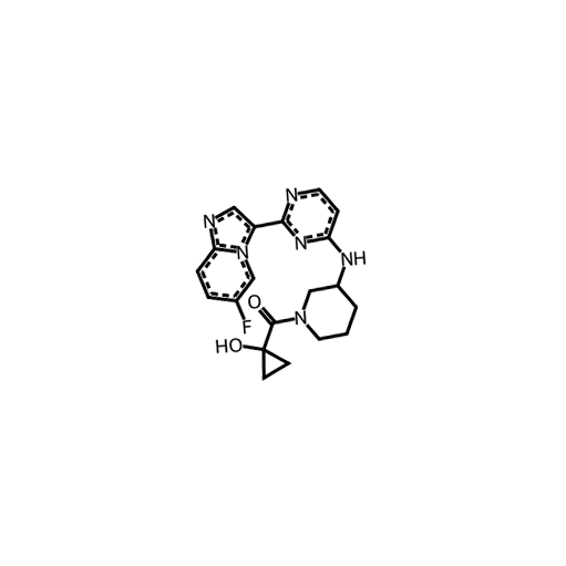 O=C(N1CCCC(Nc2ccnc(-c3cnc4ccc(F)cn34)n2)C1)C1(O)CC1